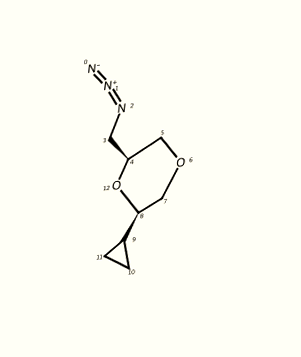 [N-]=[N+]=NC[C@H]1COC[C@@H](C2CC2)O1